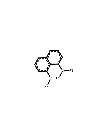 CCOc1cccc2ccc[c]([Al]([CH2]C)[CH2]C)c12